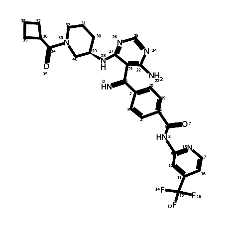 N=C(c1ccc(C(=O)Nc2cc(C(F)(F)F)ccn2)cc1)c1c(N)ncnc1N[C@@H]1CCCN(C(=O)C2CCC2)C1